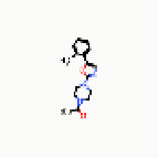 Cc1ccccc1-c1cnc(N2CCN(C(=O)C(C)(C)C)CC2)o1